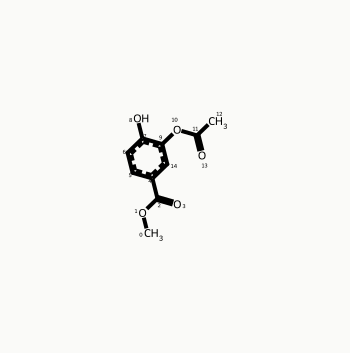 COC(=O)c1ccc(O)c(OC(C)=O)c1